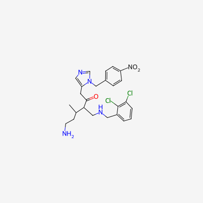 CC(CCN)C(CNCc1cccc(Cl)c1Cl)C(=O)Cc1cncn1Cc1ccc([N+](=O)[O-])cc1